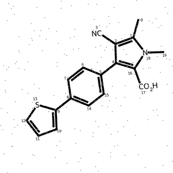 Cc1c(C#N)c(-c2ccc(-c3cccs3)cc2)c(C(=O)O)n1C